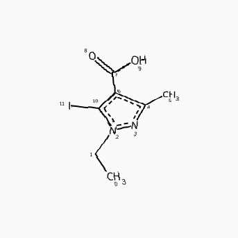 CCn1nc(C)c(C(=O)O)c1I